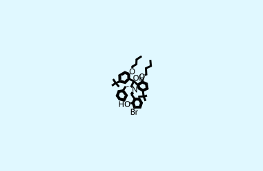 CCCCOc1ccc(C(C)(C)C)cc1C(O)(c1cc(C(C)(C)C)ccc1OCCCC)[C@@H](Cc1ccccc1)N=Cc1cccc(Br)c1O